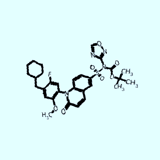 COc1cc(CC2CCCCC2)c(F)cc1-n1c(=O)ccc2cc(S(=O)(=O)N(C(=O)OC(C)(C)C)c3ncon3)ccc21